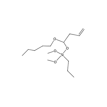 C=CCC(OCCCCC)O[Si](CCC)(OC)OC